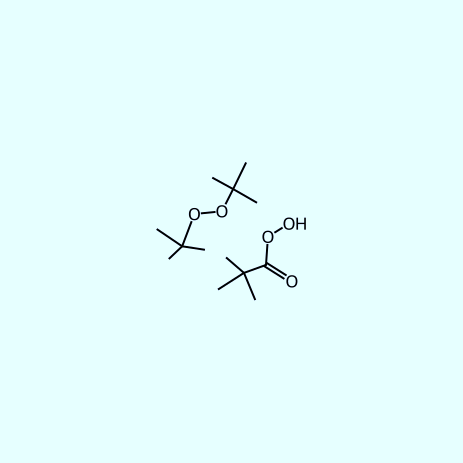 CC(C)(C)C(=O)OO.CC(C)(C)OOC(C)(C)C